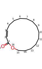 O=C1/C=C\CCCCCCCCCCCCO1